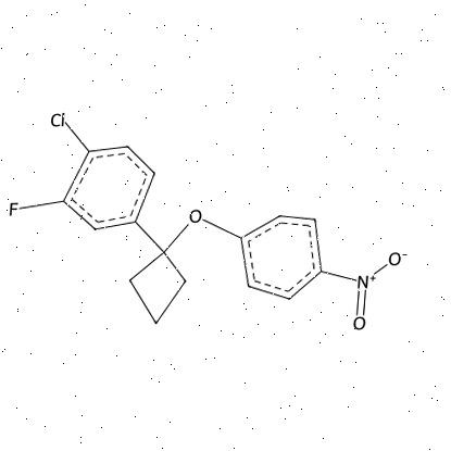 O=[N+]([O-])c1ccc(OC2(c3ccc(Cl)c(F)c3)CCC2)cc1